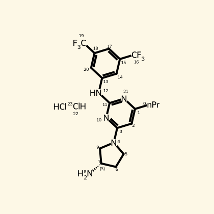 CCCc1cc(N2CC[C@H](N)C2)nc(Nc2cc(C(F)(F)F)cc(C(F)(F)F)c2)n1.Cl.Cl